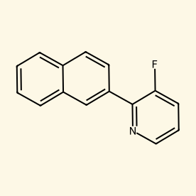 Fc1cccnc1-c1ccc2ccccc2c1